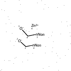 CCCCCCCCCC[O-].CCCCCCCCCC[O-].[Zn+2]